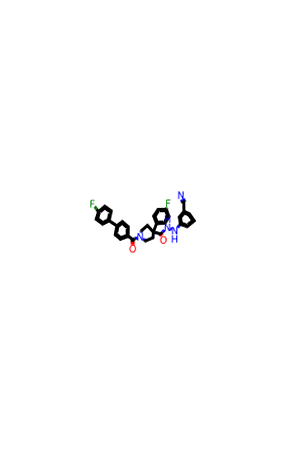 N#Cc1cccc(NNC(=O)C2(c3ccc(F)cc3)CCN(C(=O)c3ccc(-c4ccc(F)cc4)cc3)CC2)c1